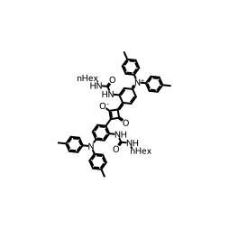 CCCCCCNC(=O)NC1=CC(=[N+](c2ccc(C)cc2)c2ccc(C)cc2)C=C/C1=C1\C(=O)C(c2ccc(N(c3ccc(C)cc3)c3ccc(C)cc3)cc2NC(=O)NCCCCCC)=C1[O-]